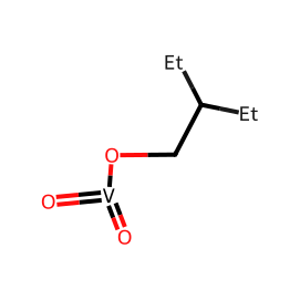 CCC(CC)C[O][V](=[O])=[O]